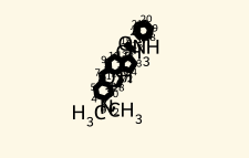 CN(C)[C@H]1CCC2=CC3=CC[C@]4(C)[C@@H](C(=O)Nc5ccccc5)CC[C@H]4[C@@]34CC[C@]2(C1)O4